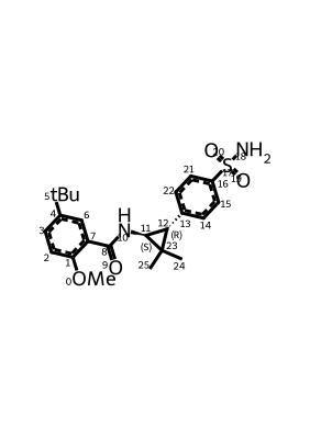 COc1ccc(C(C)(C)C)cc1C(=O)N[C@H]1[C@H](c2ccc(S(N)(=O)=O)cc2)C1(C)C